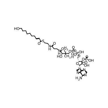 CC(C)(COP(=O)(O)OP(=O)(O)OC[C@H]1O[C@@H](n2cnc3c(N)ncnc32)[C@H](O)[C@@H]1OP(=O)(O)O)[C@@H](O)C(=O)NCCC(=O)NCCSC(=O)C=CCCCCCCCO